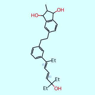 CC/C(=C\C=C\C(O)(CC)CC)c1cccc(CCc2ccc3c(c2)C(O)C(C)C3O)c1